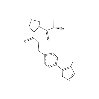 CC1=C(c2ccc(CCC(=O)[C@@H]3CCCN3C(=O)[C@@H](C)C(C)(C)C)cc2)CC=C1